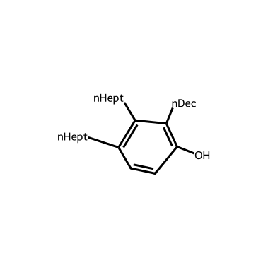 CCCCCCCCCCc1c(O)ccc(CCCCCCC)c1CCCCCCC